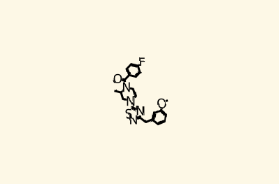 COc1cccc(Cc2nsc(N3CCN(C(=O)c4ccc(F)cc4)C(C)C3)n2)c1